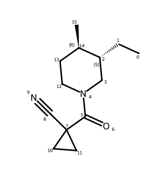 CC[C@@H]1CN(C(=O)C2(C#N)CC2)CC[C@H]1C